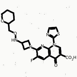 O=C(O)c1cn(-c2nccs2)c2nc(N3CC(NOCC4CCCCO4)C3)c(F)cc2c1=O